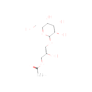 CCCCCCCCCC(=O)OCC(O)COC1O[C@H](CO)[C@H](O)[C@H](O)[C@H]1O